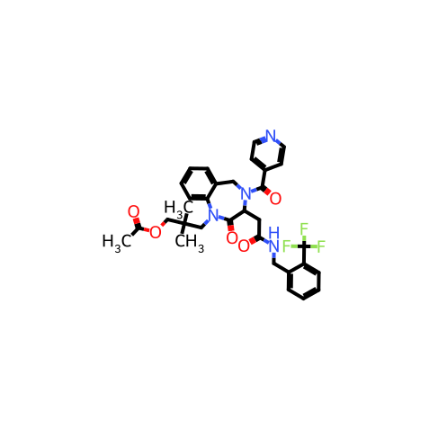 CC(=O)OCC(C)(C)CN1C(=O)C(CC(=O)NCc2ccccc2C(F)(F)F)N(C(=O)c2ccncc2)Cc2ccccc21